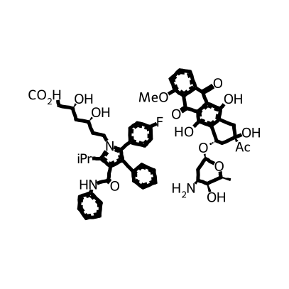 CC(C)c1c(C(=O)Nc2ccccc2)c(-c2ccccc2)c(-c2ccc(F)cc2)n1CC[C@@H](O)C[C@@H](O)CC(=O)O.COc1cccc2c1C(=O)c1c(O)c3c(c(O)c1C2=O)C[C@@](O)(C(C)=O)C[C@@H]3O[C@H]1C[C@H](N)[C@H](O)[C@H](C)O1